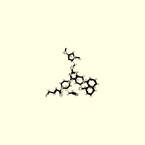 CO[C@@H]1C[C@@H](COc2nc3c(c(N4CCN(C(=O)/C=C/CF)[C@@H](CC#N)C4)n2)CCN(c2cccc4cccc(Cl)c24)C3)N(C)C1